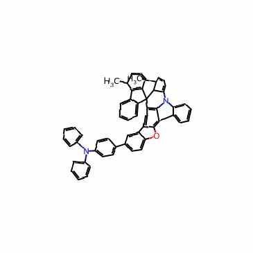 CC1CC=CC2=C1c1ccccc1C21c2cc3c4cc(-c5ccc(N(c6ccccc6)c6ccccc6)cc5)ccc4oc3c3c4ccccc4n(c23)C2=CC=CC(C)C21